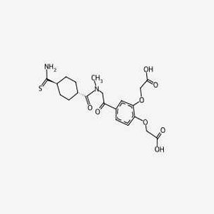 CN(CC(=O)c1ccc(OCC(=O)O)c(OCC(=O)O)c1)C(=O)[C@H]1CC[C@H](C(N)=S)CC1